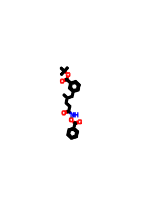 CC(CCC(=O)NOC(=O)c1ccccc1)Cc1cccc(C(=O)OC(C)(C)C)c1